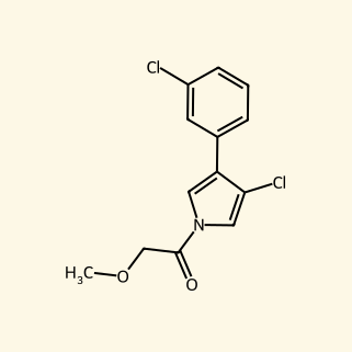 COCC(=O)n1cc(Cl)c(-c2cccc(Cl)c2)c1